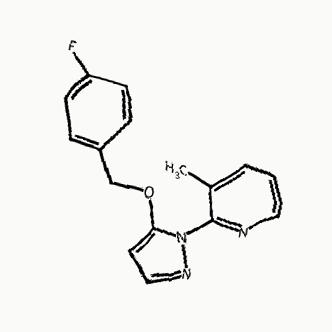 Cc1cccnc1-n1nccc1OCc1ccc(F)cc1